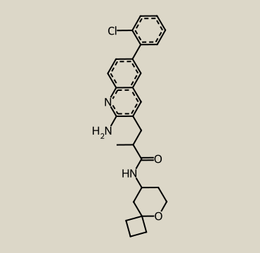 CC(Cc1cc2cc(-c3ccccc3Cl)ccc2nc1N)C(=O)NC1CCOC2(CCC2)C1